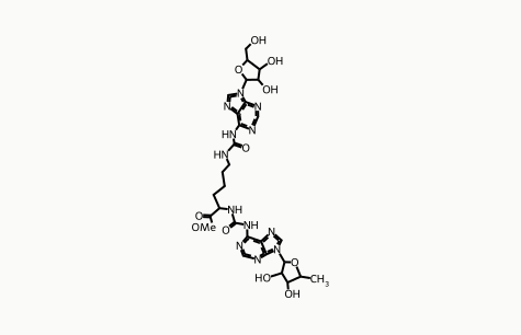 COC(=O)C(CCCCNC(=O)Nc1ncnc2c1ncn2C1OC(CO)C(O)C1O)NC(=O)Nc1ncnc2c1ncn2C1OC(C)C(O)C1O